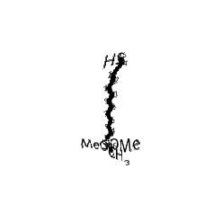 CO[Si](C)(CCCCCCCCCCCCS)OC